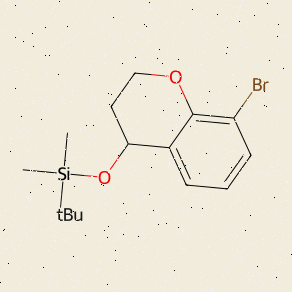 CC(C)(C)[Si](C)(C)OC1CCOc2c(Br)cccc21